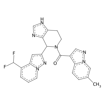 Cc1ccc2c(C(=O)N3CCc4[nH]cnc4C3c3cc4c(C(F)F)cccn4n3)cnn2c1